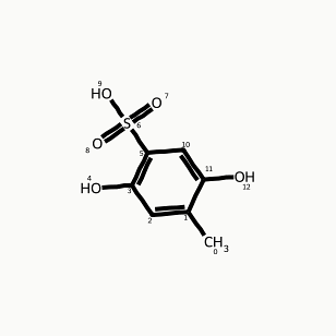 Cc1cc(O)c(S(=O)(=O)O)cc1O